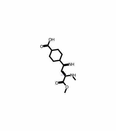 CN/C(=C\C(=N)C1CCC(C(=O)O)CC1)C(=O)OC